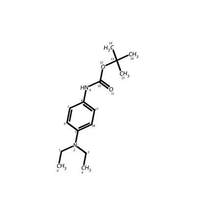 CCN(CC)c1ccc(NC(=O)OC(C)(C)C)cc1